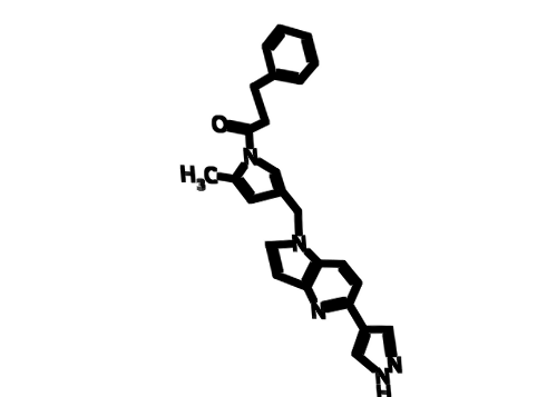 Cc1cc(Cn2ccc3nc(-c4cn[nH]c4)ccc32)cn1C(=O)CCc1ccccc1